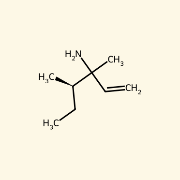 C=CC(C)(N)[C@H](C)CC